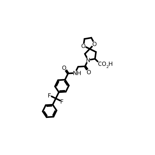 O=C(NCC(=O)N1CC2(CC1C(=O)O)OCCO2)c1ccc(C(F)(F)c2ccccc2)cc1